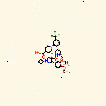 COC[C@@H]1C[C@@H](c2ccc(C(F)(F)F)cc2N2CCC(C(=O)O)CC2)CN1C(=O)[C@]1(F)CN(C2CCC2)C[C@H]1c1ccc(OC)cc1